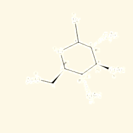 CC(=O)OC[C@H]1OC(Br)[C@H](OC(C)=O)[C@@H](OC(C)=O)[C@@H]1OC(C)=O